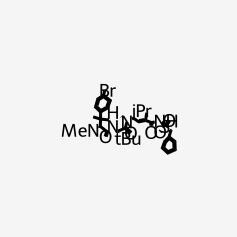 CN[C@H](C(=O)N[C@H](C(=O)N(C)[C@H](/C=C(\C)C(=O)NS(=O)(=O)Cc1ccccc1)C(C)C)C(C)(C)C)C(C)(C)c1ccc(Br)cc1